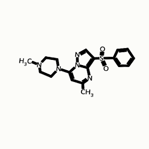 Cc1cc(N2CCN(C)CC2)n2ncc(S(=O)(=O)c3ccccc3)c2n1